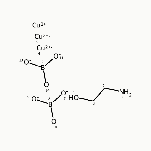 NCCO.[Cu+2].[Cu+2].[Cu+2].[O-]B([O-])[O-].[O-]B([O-])[O-]